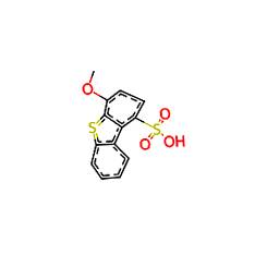 COc1ccc(S(=O)(=O)O)c2c1sc1ccccc12